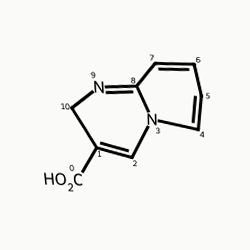 O=C(O)C1=CN2C=CC=CC2=NC1